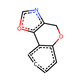 c1ccc2c(c1)OCc1ncoc1-2